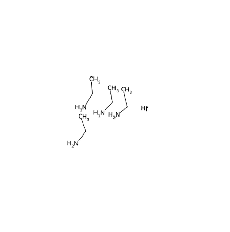 CCN.CCN.CCN.CCN.[Hf]